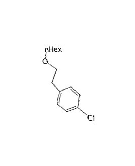 [CH2]CCCCCOCCc1ccc(Cl)cc1